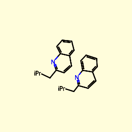 CC(C)Cc1ccc2ccccc2n1.CC(C)Cc1ccc2ccccc2n1